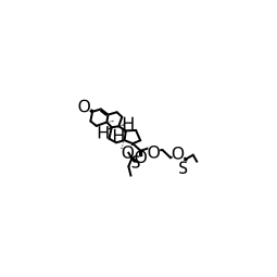 CCC(=S)OCCOCC(=O)[C@@]1(OC(=S)CC)CC[C@H]2[C@@H]3CCC4=CC(=O)CC[C@]4(C)[C@H]3CC[C@@]21C